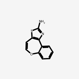 Nc1nc2c(s1)C=COc1ccccc1-2